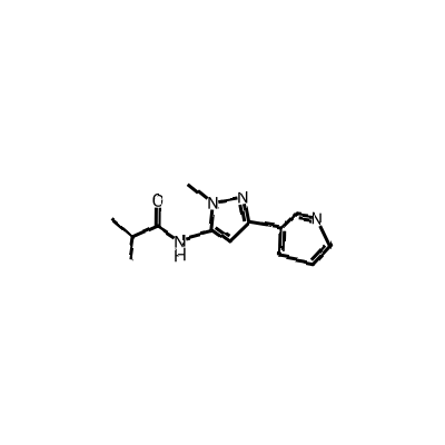 CC(C)C(=O)Nc1cc(-c2cccnc2)nn1C